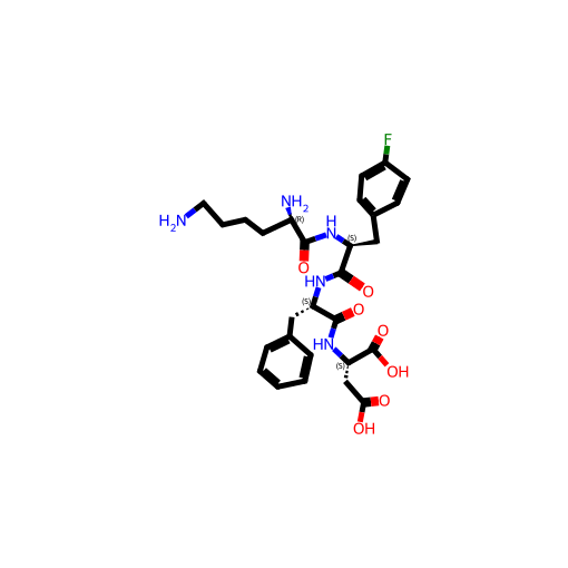 NCCCC[C@@H](N)C(=O)N[C@@H](Cc1ccc(F)cc1)C(=O)N[C@@H](Cc1ccccc1)C(=O)N[C@@H](CC(=O)O)C(=O)O